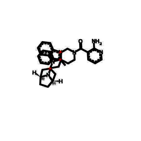 Cc1nc2ccccc2n1C1C[C@H]2CC[C@@H](C1)N2CCC1(c2ccccc2)CCN(C(=O)c2cccnc2N)CC1